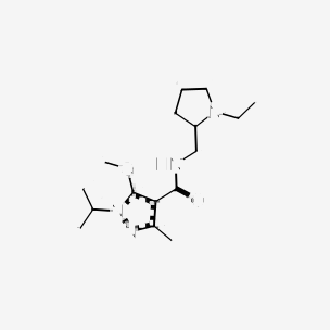 CCN1CCCC1CNC(=O)c1c(C)nn(C(C)C)c1OC